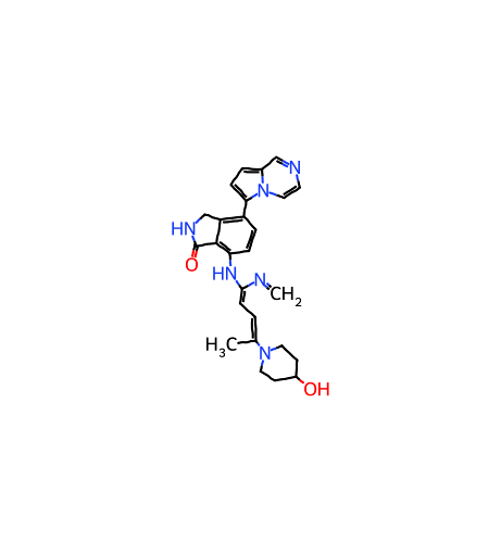 C=N/C(=C\C=C(/C)N1CCC(O)CC1)Nc1ccc(-c2ccc3cnccn23)c2c1C(=O)NC2